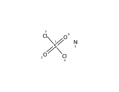 O=S(=O)(Cl)Cl.[N]